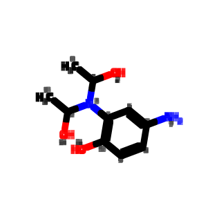 CC(O)N(c1cc(N)ccc1O)C(C)O